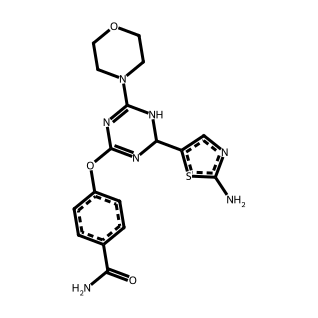 NC(=O)c1ccc(OC2=NC(c3cnc(N)s3)NC(N3CCOCC3)=N2)cc1